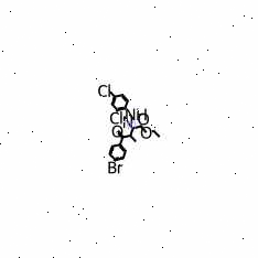 CCOC(=O)/C(=N\Nc1ccc(Cl)cc1Cl)C(C)C(=O)c1ccc(Br)cc1